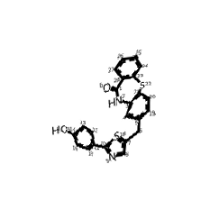 O=C1Nc2cc(Cc3cnc(-c4ccc(O)cc4)s3)ccc2Sc2ccccc21